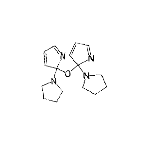 C1=CC(OC2(N3CCCC3)C=CC=N2)(N2CCCC2)N=C1